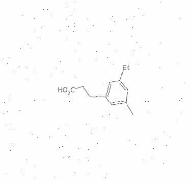 CCc1cc(C)cc(CCC(=O)O)c1